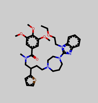 CCOCCn1c(N2CCCN(CCC(CN(C)C(=O)c3cc(OC)c(OC)c(OC)c3)c3cccs3)CC2)nc2ccccc21